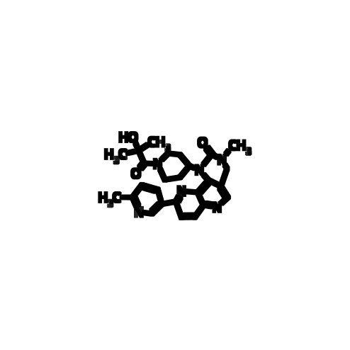 Cc1ccc(-c2ccc3ncc4c(c3n2)N(C2CCN(C(=O)C(C)(C)O)CC2)C(=O)N(C)C4)cn1